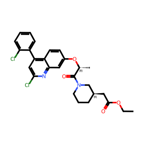 CCOC(=O)C[C@H]1CCCN(C(=O)[C@@H](C)Oc2ccc3c(-c4ccccc4Cl)cc(Cl)nc3c2)C1